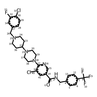 O=C(NCc1ccc(C(F)(F)F)cc1)c1cnc(N2CCN(C3CCN(Cc4ccc(Cl)c(F)c4)CC3)CC2)c(Cl)c1